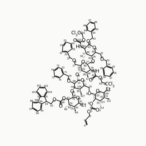 C=CCOC(=O)OC1[C@@H](OCC2O[C@@H](O[C@@H]3C(COCc4ccccc4)O[C@@H](O[C@@H]4C(COCc5ccccc5)O[C@@H](OCc5ccccc5)C(NC(=O)OCC(Cl)(Cl)Cl)[C@H]4C)C(NC(=O)OCC(Cl)(Cl)Cl)[C@H]3C)C(OCc3ccccc3)[C@@H](O[C@H]3OC(CC)[C@@H](C)[C@H](C)C3OC(=O)OCC3c4ccccc4-c4ccccc43)[C@@H]2C)OC(CC)[C@@H](C)[C@@H]1C